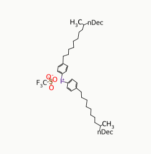 CCCCCCCCCCC(C)CCCCCCCCc1ccc([I+]c2ccc(CCCCCCCCC(C)CCCCCCCCCC)cc2)cc1.O=S(=O)([O-])C(F)(F)F